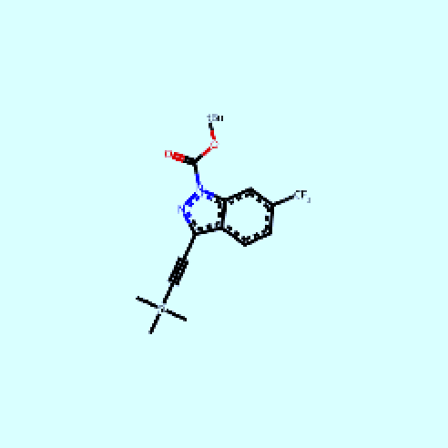 CC(C)(C)OC(=O)n1nc(C#C[Si](C)(C)C)c2ccc(C(F)(F)F)cc21